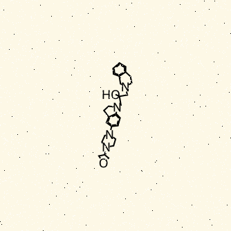 OC(CN1CCc2ccccc2C1)CN1CCc2cc(N3CCN(C4COC4)CC3)ccc21